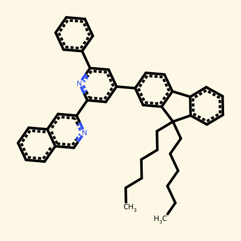 CCCCCCC1(CCCCCC)c2ccccc2-c2ccc(-c3cc(-c4ccccc4)nc(-c4cc5ccccc5cn4)c3)cc21